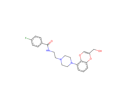 O=C(NCCN1CCN(c2cccc3c2OC=C(CO)O3)CC1)c1ccc(F)cc1